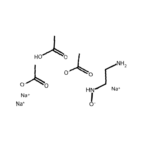 CC(=O)O.CC(=O)[O-].CC(=O)[O-].NCCN[O-].[Na+].[Na+].[Na+]